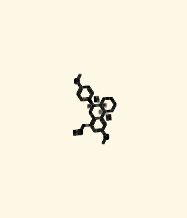 COc1ccc([C@@H]2Cc3c(CO)cc(OC)cc3[C@@H]3CCCC[C@H]23)cc1